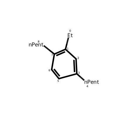 [CH2]Cc1cc(CCCCC)ccc1CCCCC